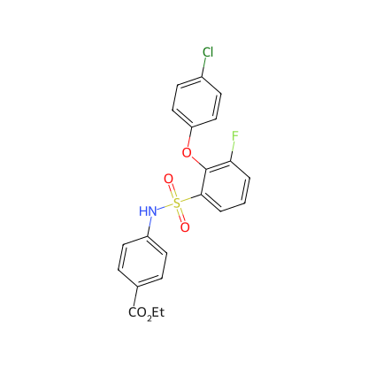 CCOC(=O)c1ccc(NS(=O)(=O)c2cccc(F)c2Oc2ccc(Cl)cc2)cc1